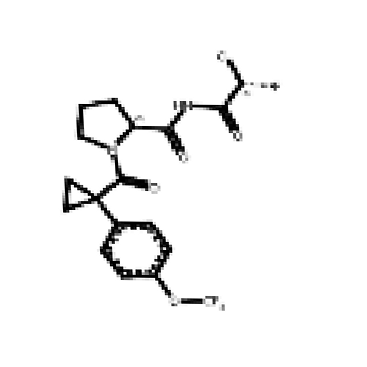 O=C(NC(=O)[C@@H]1CCCN1C(=O)C1(c2ccc(OC(F)(F)F)cc2)CC1)[C@@H](F)Cl